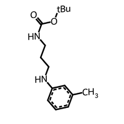 Cc1cccc(NCCCNC(=O)OC(C)(C)C)c1